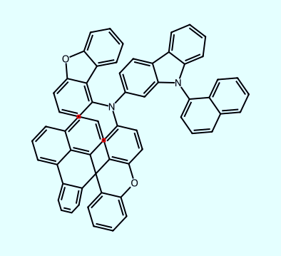 c1ccc2c(c1)Oc1ccc(N(c3ccc4c5ccccc5n(-c5cccc6ccccc56)c4c3)c3cccc4oc5ccccc5c34)cc1C21c2ccccc2-c2cccc3cccc1c23